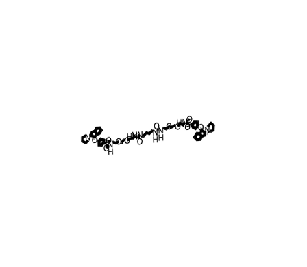 O=C(NCCCCNC(=O)NCCOCCOCCNS(=O)(=O)c1ccc(O[C@H]2c3ccccc3C[C@@H]2N2CCCCC2)cc1)NCCOCCOCCNS(=O)(=O)c1ccc(O[C@H]2c3ccccc3C[C@@H]2N2CCCCC2)cc1